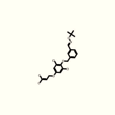 CC(C)(C)ON=Cc1cccc(COc2c(Cl)cc(OCC=C(Cl)Cl)cc2Cl)c1